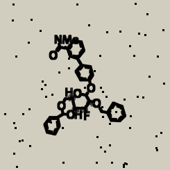 CNC(=O)c1cccc(-c2ccc(OC3O[C@@H]4COC(c5ccccc5)O[C@H]4[C@H](F)[C@@H]3OCc3ccccc3)cc2)c1